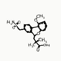 COc1cccc2c1-c1ccc(CS(N)(=O)=O)cc1C(CC(C)(C)C(=O)O)O2